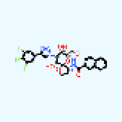 O=C(N[C@@H]1CCO[C@]12O[C@H](CO)[C@H](O)[C@H](n1cc(-c3cc(F)c(F)c(F)c3)nn1)[C@H]2O)c1ccc2ccccc2c1